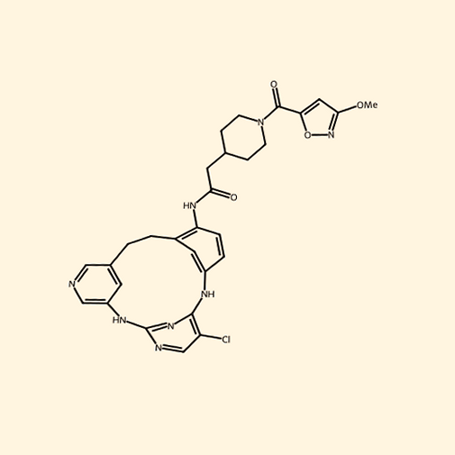 COc1cc(C(=O)N2CCC(CC(=O)Nc3ccc4cc3CCc3cncc(c3)Nc3ncc(Cl)c(n3)N4)CC2)on1